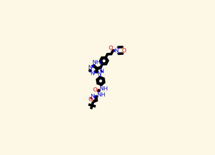 CC(C)(C)c1cc(NC(=O)Nc2ccc(-n3nc(-c4ccc(CCC(=O)N5CCOCC5)cc4)c4c(N)ncnc43)cc2)no1